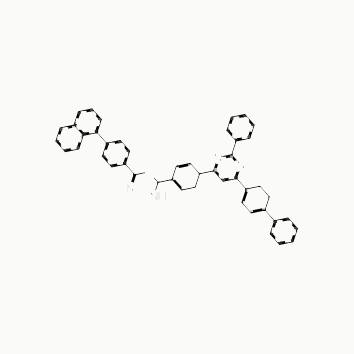 N=C(OC(N)C1=CCC(c2cc(C3=CC=C(c4ccccc4)CC3)nc(-c3ccccc3)n2)C=C1)c1ccc(-c2cccc3ccccc23)cc1